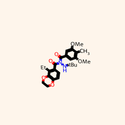 CCc1c(C(=O)N(NC(C)(C)C)C(=O)c2cc(OC)c(C)c(OC)c2)ccc2c1OCCO2